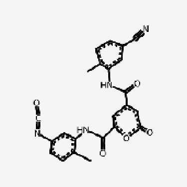 Cc1ccc(C#N)cc1NC(=O)c1cc(C(=O)Nc2cc(N=C=O)ccc2C)oc(=O)c1